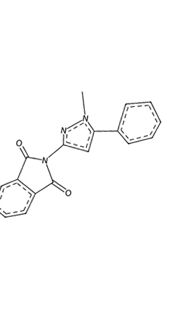 Cn1nc(N2C(=O)c3ccccc3C2=O)cc1-c1ccccc1